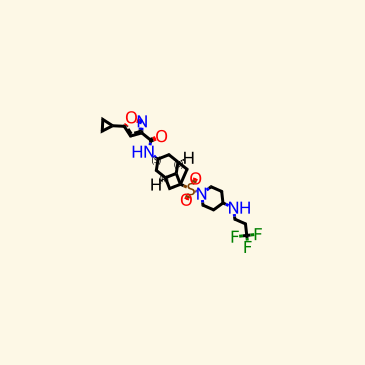 O=C(N[C@@H]1C[C@@H]2CC3(S(=O)(=O)N4CCC(NCCC(F)(F)F)CC4)C[C@H](C1)C23)c1cc(C2CC2)on1